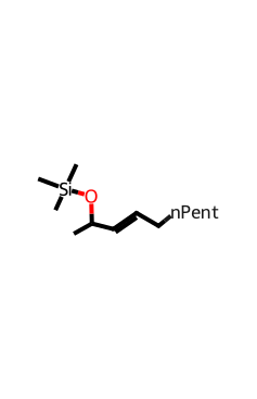 CCCCCCC=CC(C)O[Si](C)(C)C